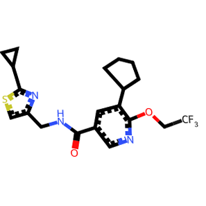 O=C(NCc1csc(C2CC2)n1)c1cnc(OCC(F)(F)F)c(C2CCCC2)c1